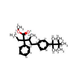 CCC(C(=O)OC)(c1ccccc1)C(C)Cc1ccc(C(C)(C)C(C)(C)C)cc1